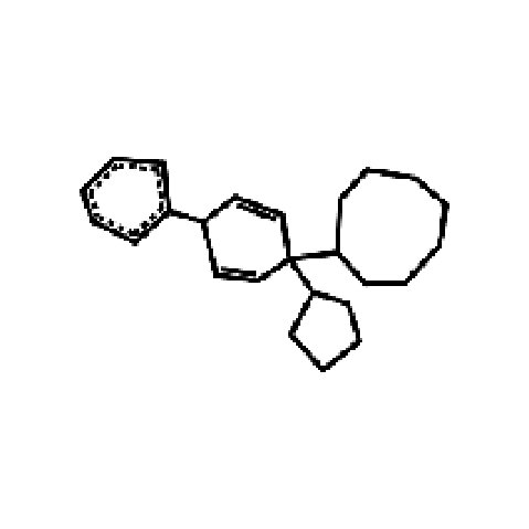 C1=CC(C2CCCCCCC2)(C2CCCC2)C=CC1c1ccccc1